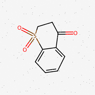 O=C1CCS(=O)(=O)c2cc[c]cc21